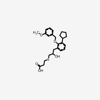 COc1cccc(COc2c(CC(O)CSCCC(=O)O)cccc2C2CCCC2)c1